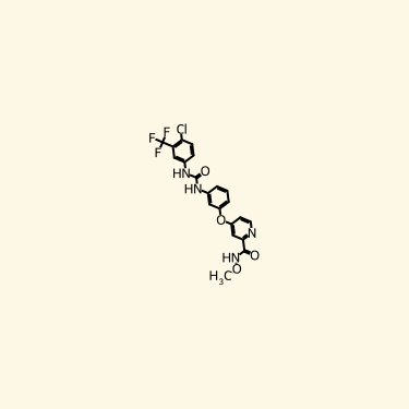 CONC(=O)c1cc(Oc2cccc(NC(=O)Nc3ccc(Cl)c(C(F)(F)F)c3)c2)ccn1